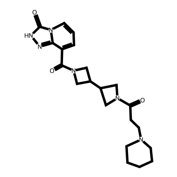 O=C(CCN1CCCCC1)N1CC(C2CN(C(=O)c3cccn4c(=O)[nH]nc34)C2)C1